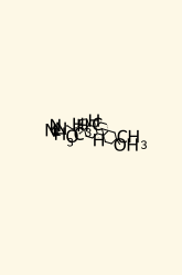 C[C@@H]1[C@]23CC[C@H]4[C@@H]5CC[C@H](C(=O)Cn6ccnn6)[C@@]5(C)CC[C@@H]4[C@]12CC[C@@](C)(O)C3